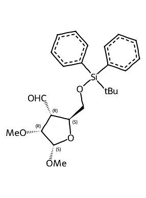 CO[C@H]1O[C@H](CO[Si](c2ccccc2)(c2ccccc2)C(C)(C)C)[C@@H](C=O)[C@H]1OC